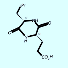 CC(C)C[C@@H]1NC(=O)[C@H](CCC(=O)O)NC1=O